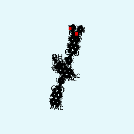 CC(=O)c1ccc2c3ccc4c5c(ccc(c6ccc(C(C)=O)c1c26)c53)C(=O)N(CCc1ccc(Oc2cc(C(C)=O)c3c(C(C)=O)ccc5c6c(Oc7ccc(CCN8C(=O)c9ccc%10c%11ccc(C(=O)Oc%12ccccc%12)c%12c(C(=O)Oc%13ccccc%13)ccc(c%13ccc(c9c%10%13)C8=O)c%12%11)cc7)cc7c8c(ccc(c2c35)c86)C(=O)N(CCCO)C7=O)cc1)C4=O